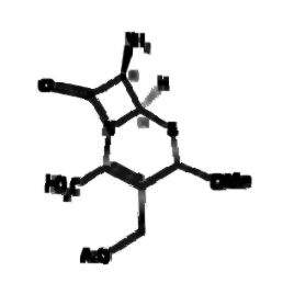 COC1S[C@@H]2[C@H](N)C(=O)N2C(C(=O)O)=C1COC(C)=O